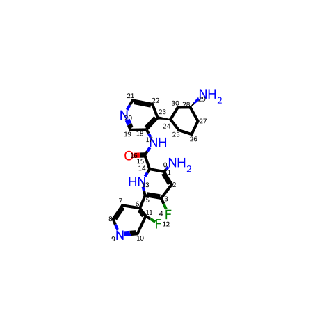 NC1=CC(F)=C(c2ccncc2F)NC1C(=O)Nc1cnccc1[C@@H]1CCC[C@H](N)C1